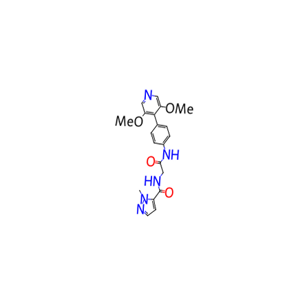 COc1cncc(OC)c1-c1ccc(NC(=O)CNC(=O)c2ccnn2C)cc1